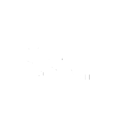 Cc1ccc2c(Br)c(C3C=Cc4ccccc43)ccc2c1